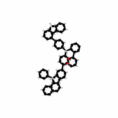 c1ccc(-c2ccccc2N(c2ccc(-c3ccc4c5ccc6ccccc6c5n(-c5ccccc5)c4c3)cc2)c2ccc(-c3cccc4sc5ccccc5c34)cc2)cc1